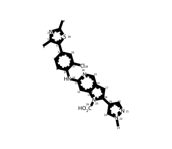 Cc1nc(C)c(-c2ccc(Nc3cc4c(cn3)cc(-c3cnn(C)c3)n4C(=O)O)c(Cl)c2)s1